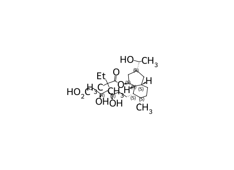 CCC(C)(C)C(=O)O[C@H]1C[C@H](C(C)O)C[C@@H]2CC[C@H](C)[C@H](CC[C@@H](O)C[C@@H](O)CC(=O)O)[C@@H]21